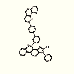 CCc1nc2c3c(-c4cccc(-c5ccc(-c6ccc7ccc8cccnc8c7n6)cc5)c4)nc4ccccc4c3ccc2n1-c1ccccc1